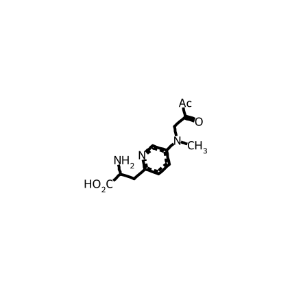 CC(=O)C(=O)CN(C)c1ccc(CC(N)C(=O)O)nc1